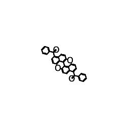 O=C(c1ccccc1)c1ccc2oc3ccc4c(C(=O)c5ccccc5)ccc5oc6ccc1c2c6-c3c54